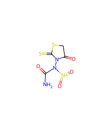 NC(=O)N(N1C(=O)CSC1=S)[SH](=O)=O